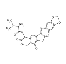 CC(C)C(N)C(=O)OC1C(=O)OCc2c1cc1n(c2=O)Cc2cc3cc4c(cc3nc2-1)OCO4